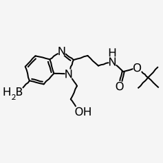 Bc1ccc2nc(CCNC(=O)OC(C)(C)C)n(CCO)c2c1